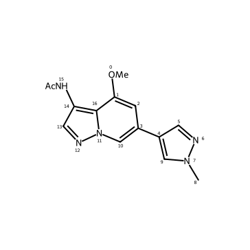 COc1cc(-c2cnn(C)c2)cn2ncc(NC(C)=O)c12